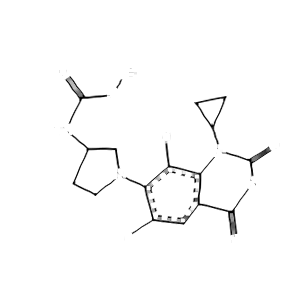 CC(C)(C)OC(=O)NC1CCN(c2c(F)cc3c(c2Cl)N(C2CC2)C(=O)[N]C3=O)C1